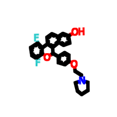 Oc1ccc2c3c(ccc2c1)-c1c(F)ccc(F)c1OC3c1ccc(OCCN2CCCCC2)cc1